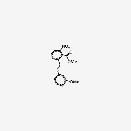 COC(=O)c1c(CSc2cccc(OC)c2)cccc1[N+](=O)[O-]